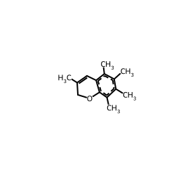 CC1=Cc2c(C)c(C)c(C)c(C)c2OC1